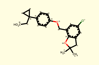 CC1(C)Cc2cc(Cl)cc(COc3ccc(C4(CC(=O)O)CC4)cc3)c2O1